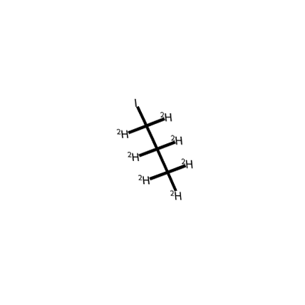 [2H]C([2H])([2H])C([2H])([2H])C([2H])([2H])I